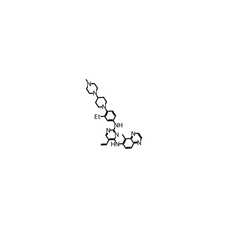 C=Cc1cnc(Nc2ccc(N3CCC(N4CCN(C)CC4)CC3)c(CC)c2)nc1Nc1ccc2nccnc2c1C